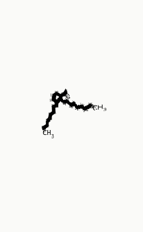 CCCCCCCCCc1cccc(C2CO2)c1CCCCCCCCC